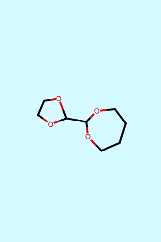 C1CCOC(C2OCCO2)OC1